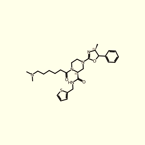 C[C@@H]1N=C(N2CCN(C(=O)CCCCCN(C)C)[C@H](C(=O)NCc3cccs3)C2)OC1c1ccccc1